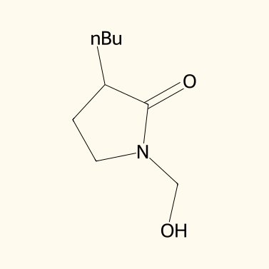 CCCCC1CCN(CO)C1=O